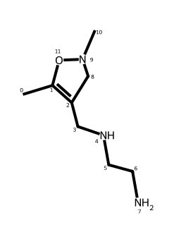 CC1=C(CNCCN)CN(C)O1